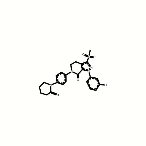 CS(=O)(=O)c1nn(-c2cccc(Cl)c2)c2c1CCN(c1ccc(N3CCCCC3=O)cc1)C2=O